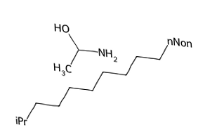 CC(N)O.CCCCCCCCCCCCCCCCCC(C)C